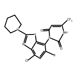 O=c1cc(C(F)(F)F)[nH]c(=O)n1-c1c(F)cc(Cl)c2nc(N3CCCCC3)sc12